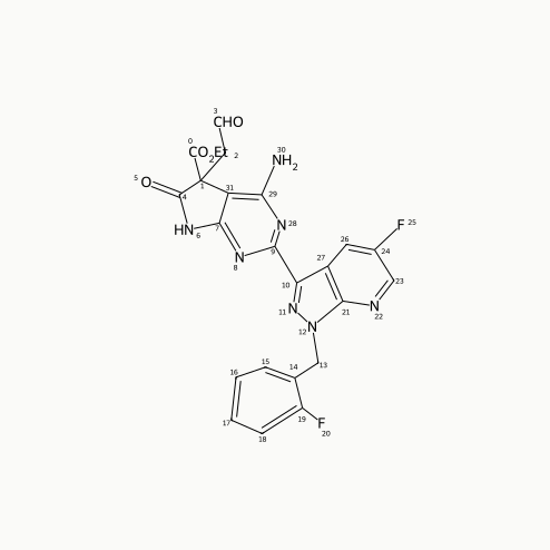 CCOC(=O)C1(CC=O)C(=O)Nc2nc(-c3nn(Cc4ccccc4F)c4ncc(F)cc34)nc(N)c21